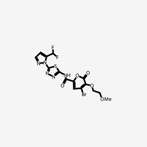 COCCOc1c(Br)cc(C(=O)Nc2nnc(-n3nccc3C(F)F)s2)oc1=O